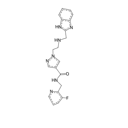 O=C(NCc1ncccc1F)c1cnn(CCNCc2nc3ccccc3[nH]2)c1